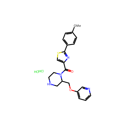 COc1ccc(-c2nc(C(=O)N3CCNCC3COc3cccnc3)cs2)cc1.Cl.Cl